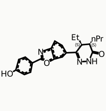 CCC[C@@H]1C(=O)NN=C(c2ccc3nc(-c4ccc(O)cc4)oc3c2)[C@H]1CC